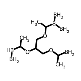 BBC(C)OC(COC(B)C)COC(C)B(B)B